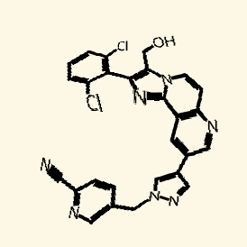 N#Cc1ccc(Cn2cc(-c3cnc4ccn5c(CO)c(-c6c(Cl)cccc6Cl)nc5c4c3)cn2)cn1